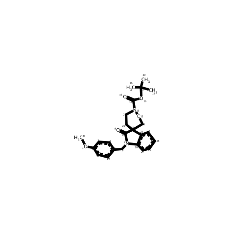 COc1ccc(CN2C(=O)C3(CCN(C(=O)OC(C)(C)C)CC3)c3ccccc32)cc1